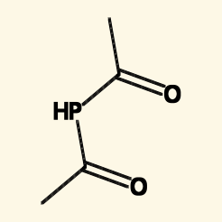 CC(=O)PC(C)=O